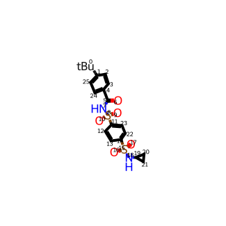 CC(C)(C)c1ccc(C(=O)NS(=O)(=O)c2ccc(S(=O)(=O)NC3CC3)cc2)cc1